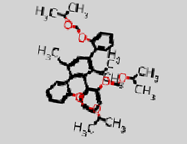 CCc1cc(-c2ccccc2OCOC(C)C)c(C(C)C)c(-c2ccccc2OCOC(C)C)c1-c1ccccc1OCOC(C)C